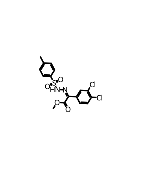 COC(=O)C(=NNS(=O)(=O)c1ccc(C)cc1)c1ccc(Cl)c(Cl)c1